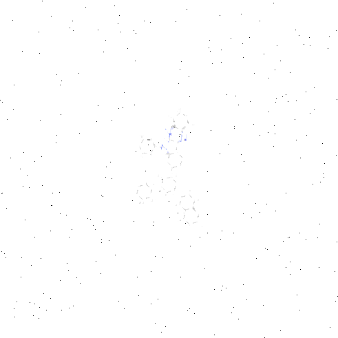 c1ccc(-c2cc(-c3ccc4ccccc4c3)cc(-c3ccc4c5nc6ccccc6nc5n(-c5ccccc5)c4c3)c2)cc1